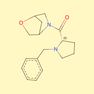 O=C([C@@H]1CCCN1Cc1ccccc1)N1CC2CC1CO2